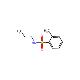 Cc1ccccc1S(=O)(=O)NCCC(F)(F)F